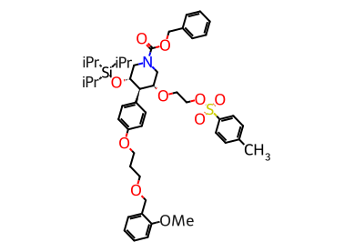 COc1ccccc1COCCCOc1ccc([C@@H]2[C@@H](OCCOS(=O)(=O)c3ccc(C)cc3)CN(C(=O)OCc3ccccc3)C[C@H]2O[Si](C(C)C)(C(C)C)C(C)C)cc1